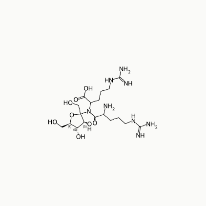 N=C(N)NCCCC(N)C(=O)N(C(CCCNC(=N)N)C(=O)O)C1(CO)O[C@H](CO)[C@@H](O)[C@@H]1O